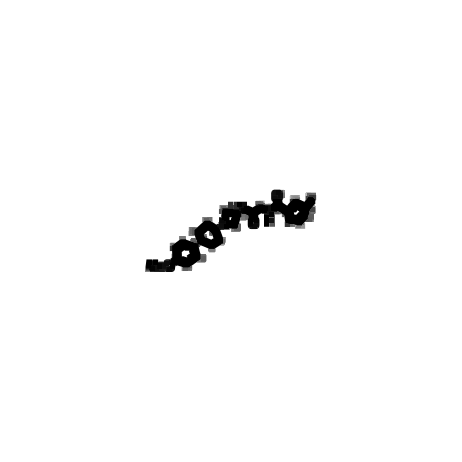 COc1ccc([C@H]2CC[C@@H](N3CC(NC(=O)CNC(=O)c4cccc(C)c4)C3)CC2)cc1